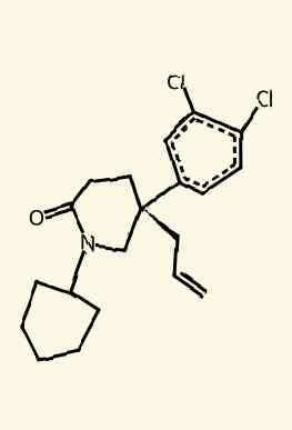 C=CC[C@]1(c2ccc(Cl)c(Cl)c2)CCC(=O)N(C2CCCCC2)C1